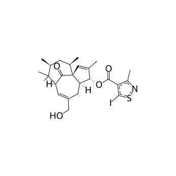 CC1=C[C@]23C(=O)[C@@H](C=C(CO)C[C@@H]2[C@H]1OC(=O)c1c(C)nsc1I)C(C)(C)[C@@H](C)C[C@H]3C